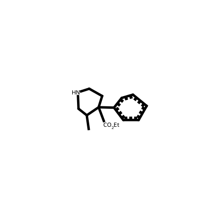 CCOC(=O)C1(c2ccccc2)CCNCC1C